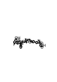 C#Cc1c(F)ccc2cc(O)cc(-c3ncc4c(N5CC6CCC(C5)N6)nc(OCC5(CN(C)C(=O)CC(C)(C)CC(=O)N6CCC(c7ccc8c(C9CCC(=O)NC9=O)nn(C)c8c7)CC6)CC5)nc4c3F)c12